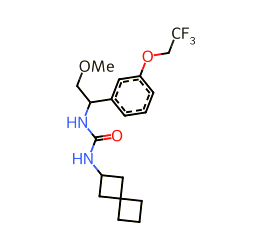 COCC(NC(=O)NC1CC2(CCC2)C1)c1cccc(OCC(F)(F)F)c1